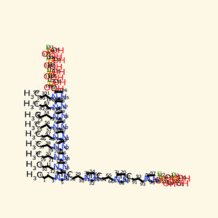 CCCCN1C=NCC1.CCCCN1C=NCC1.CCCCN1C=NCC1.CCCCN1C=NCC1.CCCCN1C=NCC1.CCCCN1C=NCC1.CCCCN1C=NCC1.CCCCN1C=NCC1.CCCCN1C=NCC1.CCCCN1C=NCC1.CCCCN1C=NCC1.CCCCN1C=NCC1.O=P(O)(O)F.O=P(O)(O)F.O=P(O)(O)F.O=P(O)(O)F.O=P(O)(O)F.O=P(O)(O)F